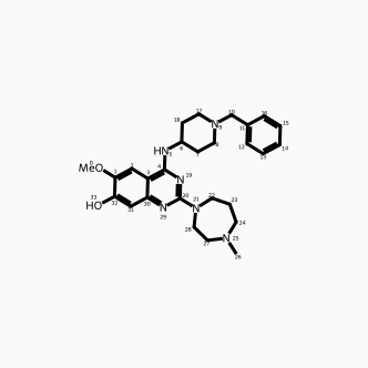 COc1cc2c(NC3CCN(Cc4ccccc4)CC3)nc(N3CCCN(C)CC3)nc2cc1O